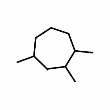 CC1[CH]C(C)C(C)CCC1